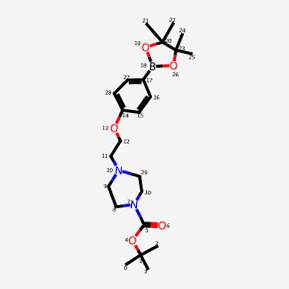 CC(C)(C)OC(=O)N1CCN(CCOc2ccc(B3OC(C)(C)C(C)(C)O3)cc2)CC1